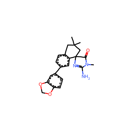 CN1C(=O)C2(CC(C)(C)Cc3ccc(-c4ccc5c(c4)OCO5)cc32)N=C1N